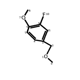 COCc1ccc(OC)c(F)c1